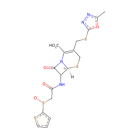 Cc1nnc(SCC2=C(C(=O)O)N3C(=O)C(NC(=O)C[S+]([O-])c4cccs4)[C@@H]3SC2)o1